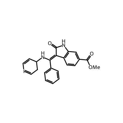 COC(=O)c1ccc2c(c1)NC(=O)/C2=C(\NC1C=CI=CC1)c1ccccc1